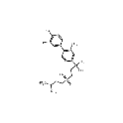 Cc1cc(C(O)(CCS(=N)(=O)CC[C@H](N)C(=O)O)C(F)(F)F)ccc1-c1ccc(O)c(F)c1